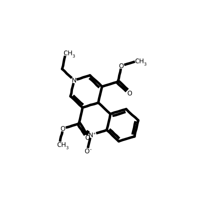 CCN1C=C(C(=O)OC)C(c2ccccc2[N+](=O)[O-])C(C(=O)OC)=C1